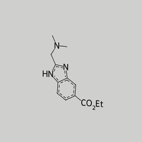 CCOC(=O)c1ccc2[nH]c(CN(C)C)nc2c1